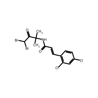 CC(C)(NC(=O)C=Cc1ccc(Cl)cc1Cl)C(=O)C(Br)Br